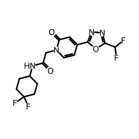 O=C(Cn1ccc(-c2nnc(C(F)F)o2)cc1=O)NC1CCC(F)(F)CC1